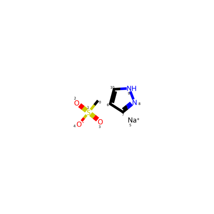 CS(=O)(=O)[O-].[Na+].c1cn[nH]c1